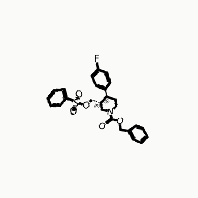 O=C(OCc1ccccc1)N1CC[C@H](c2ccc(F)cc2)[C@@H](COS(=O)(=O)c2ccccc2)C1